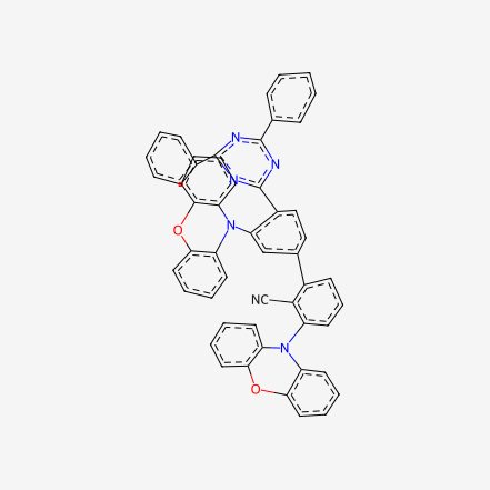 N#Cc1c(-c2ccc(-c3nc(-c4ccccc4)nc(-c4ccccc4)n3)c(N3c4ccccc4Oc4ccccc43)c2)cccc1N1c2ccccc2Oc2ccccc21